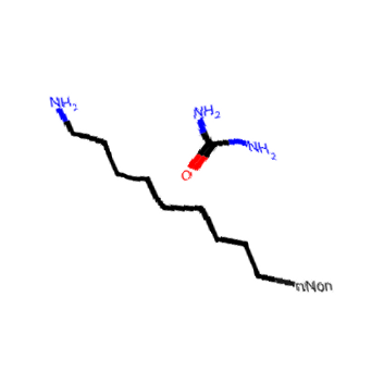 CCCCCCCCCCCCCCCCCCN.NC(N)=O